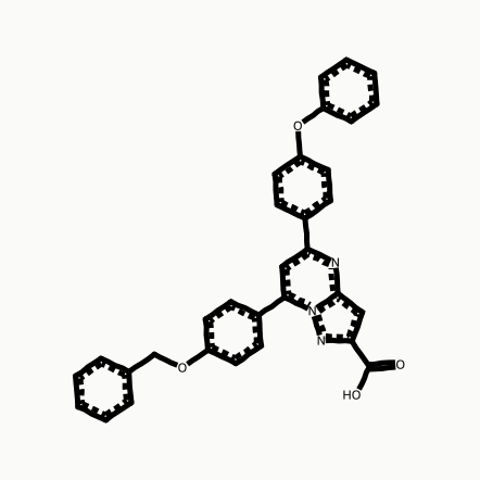 O=C(O)c1cc2nc(-c3ccc(Oc4ccccc4)cc3)cc(-c3ccc(OCc4ccccc4)cc3)n2n1